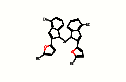 CCc1ccc(C2=Cc3c(CC)cccc3[CH]2[Zr][CH]2C(c3ccc(CC)o3)=Cc3c(CC)cccc32)o1